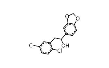 OC(Cc1cc(Cl)ccc1Cl)c1ccc2c(c1)OCO2